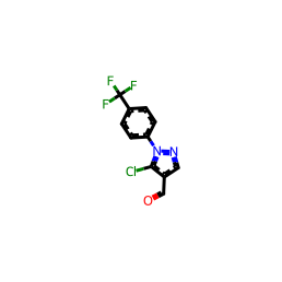 O=Cc1cnn(-c2ccc(C(F)(F)F)cc2)c1Cl